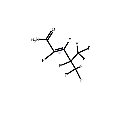 NC(=O)/C(F)=C(\F)C(F)(C(F)(F)F)C(F)(F)F